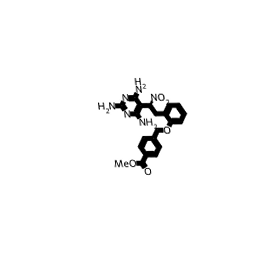 COC(=O)c1ccc(COc2ccccc2C[C@@H](c2c(N)nc(N)nc2N)[N+](=O)[O-])cc1